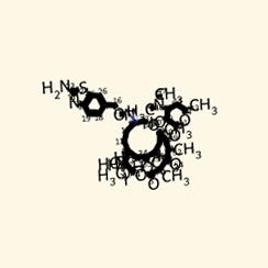 C[C@H]1C(=O)O[C@H](I)[C@@](C)(O)[C@@H]2CC/C(=N\OCc3ccc4nc(N)sc4c3)CO[C@](C)(C[C@@H](C)C(=O)[C@@H]2C)[C@H](O[C@@H]2O[C@H](C)C[C@H](N(C)C)[C@H]2O)[C@@H](C)C1=O